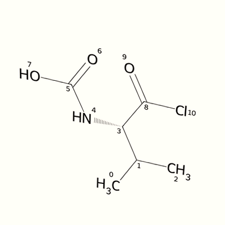 CC(C)[C@H](NC(=O)O)C(=O)Cl